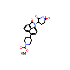 CC(C)(C)OC(=O)N1CCC(c2ccc3c4c(cccc24)C(=O)N3C2CCC(=O)NC2=O)CC1